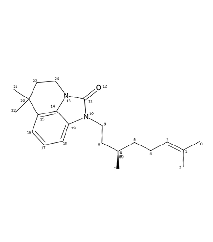 CC(C)=CCC[C@@H](C)CCn1c(=O)n2c3c(cccc31)C(C)(C)CC2